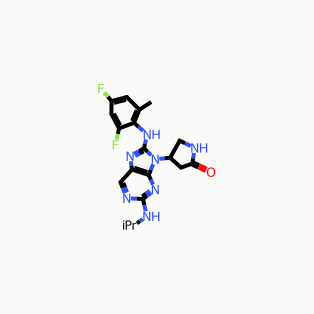 Cc1cc(F)cc(F)c1Nc1nc2cnc(NC(C)C)nc2n1C1CNC(=O)C1